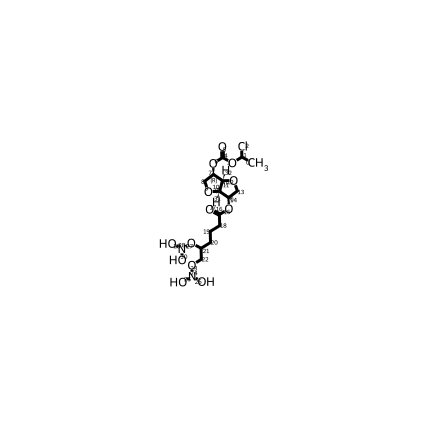 CC(Cl)OC(=O)O[C@@H]1CO[C@H]2[C@@H]1OC[C@H]2OC(=O)CCCC(CON(O)O)ON(O)O